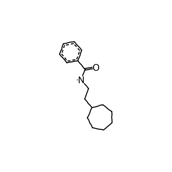 O=C([N]CCC1CCCCCC1)c1ccccc1